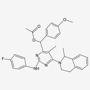 COc1ccc(C(OC(C)=O)c2nc(Nc3ccc(F)cc3)nc(N3CCc4ccccc4C3C)c2C)cc1